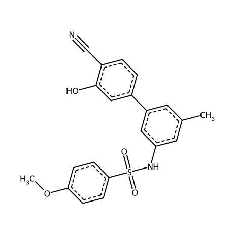 COc1ccc(S(=O)(=O)Nc2cc(C)cc(-c3ccc(C#N)c(O)c3)c2)cc1